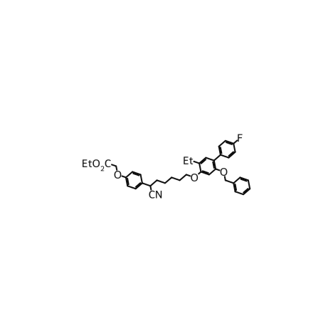 CCOC(=O)COc1ccc(C(C#N)CCCCCOc2cc(OCc3ccccc3)c(-c3ccc(F)cc3)cc2CC)cc1